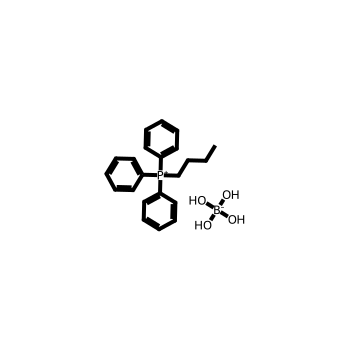 CCCC[P+](c1ccccc1)(c1ccccc1)c1ccccc1.O[B-](O)(O)O